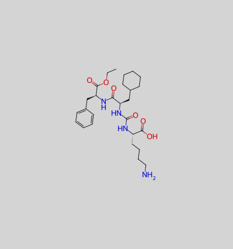 CCOC(=O)[C@H](Cc1ccccc1)NC(=O)[C@@H](CC1CCCCC1)NC(=O)N[C@@H](CCCCN)C(=O)O